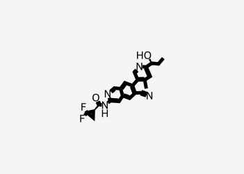 CC[C@H](O)c1cc(C)c(-c2cc3cnc(NC(=O)[C@H]4CC4(F)F)cc3cc2C#N)cn1